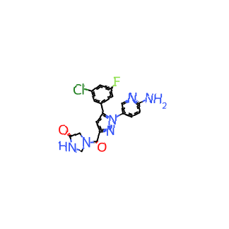 Nc1ccc(-n2nc(C(=O)N3CNC(=O)C3)cc2-c2cc(F)cc(Cl)c2)cn1